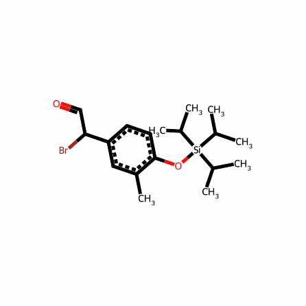 Cc1cc(C(Br)C=O)ccc1O[Si](C(C)C)(C(C)C)C(C)C